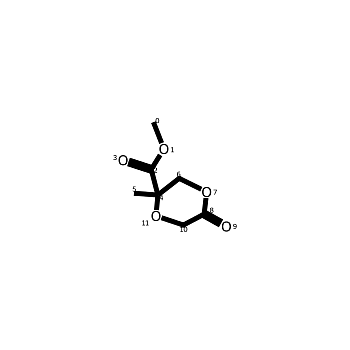 COC(=O)C1(C)COC(=O)CO1